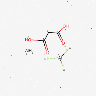 O=C(O)CC(=O)O.[AlH3].[F][Al]([F])[F]